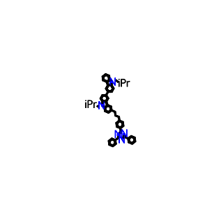 CC(C)Cn1c2ccccc2c2cc(-c3ccc4c(c3)c3cc(CCCc5ccc(-c6nc(-c7ccccc7)nc(-c7ccccc7)n6)cc5)ccc3n4CC(C)C)ccc21